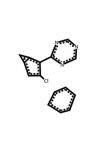 Clc1cc2cc-2c1-c1ncncn1.[c]1ccccc1